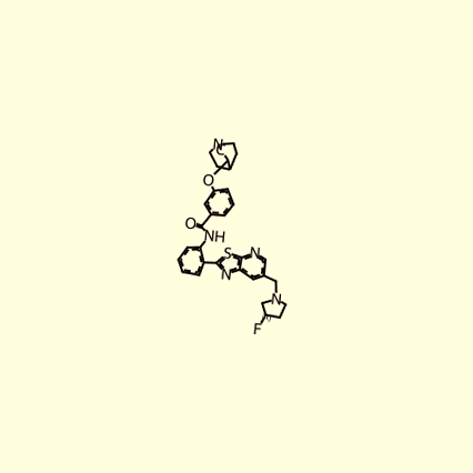 O=C(Nc1ccccc1-c1nc2cc(CN3CC[C@@H](F)C3)cnc2s1)c1cccc(OC2CN3CCC2CC3)c1